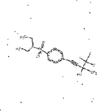 CCN(CC)S(=O)(=O)c1ccc(C#CC(C)(O)C(F)(F)F)cc1